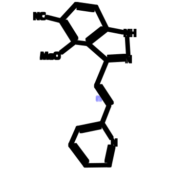 COc1c(C#N)ccc2[nH]nc(/C=C/c3ccccn3)c12